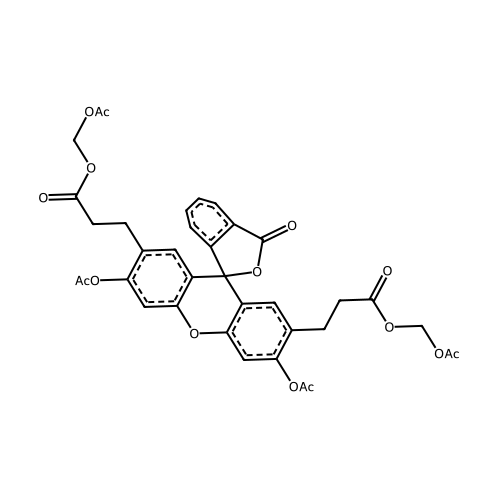 CC(=O)OCOC(=O)CCc1cc2c(cc1OC(C)=O)Oc1cc(OC(C)=O)c(CCC(=O)OCOC(C)=O)cc1C21OC(=O)c2ccccc21